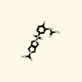 CC(=O)Nc1cc(S(=O)(=O)N2CC3=C(CN(C(=O)O)C3)C2)ccc1F